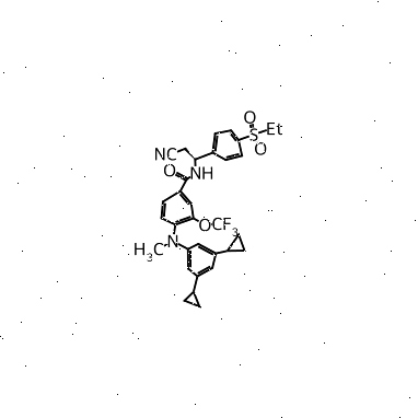 CCS(=O)(=O)c1ccc([C@H](CC#N)NC(=O)c2ccc(N(C)c3cc(C4CC4)cc(C4CC4)c3)c(OC(F)(F)F)c2)cc1